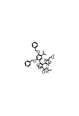 CCNC(=O)c1noc(-c2cc(C(C)C)c(OCc3ccccc3)cc2OCc2ccccc2)c1-c1noc(COC)n1